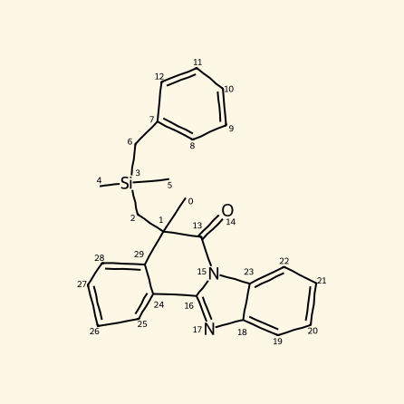 CC1(C[Si](C)(C)Cc2ccccc2)C(=O)n2c(nc3ccccc32)-c2ccccc21